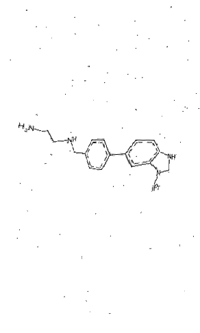 CC(C)N1CNc2ccc(-c3ccc(CNCCN)cc3)cc21